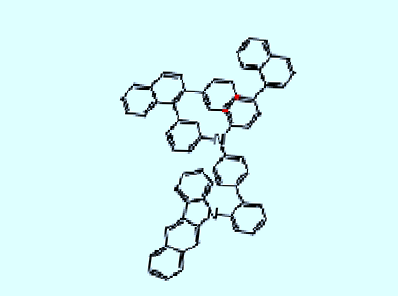 c1ccc(-c2ccc3ccccc3c2-c2cccc(N(c3ccc(-c4ccccc4-n4c5ccccc5c5cc6ccccc6cc54)cc3)c3ccc(-c4cccc5ccccc45)cc3)c2)cc1